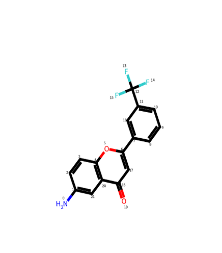 Nc1ccc2oc(-c3cccc(C(F)(F)F)c3)cc(=O)c2c1